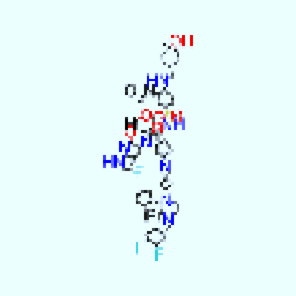 CC(C)c1ccccc1[C@@H]1CN(Cc2ccc(F)c(F)c2)CCN1C1CC2(C1)CN(c1ccc(C(=O)NS(=O)(=O)c3ccc(NCC4CCC(C)(O)CC4)c([N+](=O)[O-])c3)c(N3c4cc5c(F)c[nH]c5nc4O[C@H]4COCC[C@@H]43)c1)C2